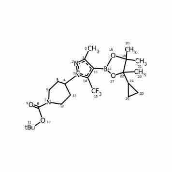 Cc1nn(C2CCN(C(=O)OC(C)(C)C)CC2)c(C(F)(F)F)c1B1OC(C)(C)C(C)(C2CC2)O1